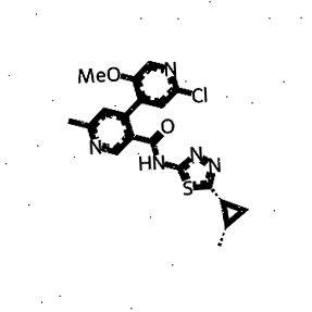 COc1cnc(Cl)cc1-c1cc(C)ncc1C(=O)Nc1nnc([C@@H]2C[C@@H]2C)s1